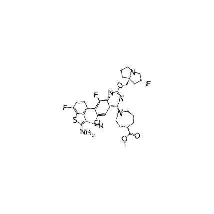 COC(=O)C1CCCN(c2nc(OC[C@@]34CCCN3C[C@H](F)C4)nc3c(F)c(-c4ccc(F)c5sc(N)c(C#N)c45)c(Cl)cc23)CC1